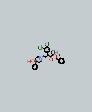 CC(OCc1ccccc1)C(=O)C(CCN1CCC(O)(c2ccccc2)CC1)c1ccc(Cl)c(Cl)c1